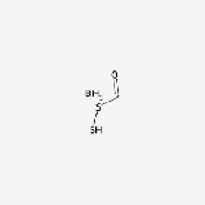 O=CSS.[BiH3]